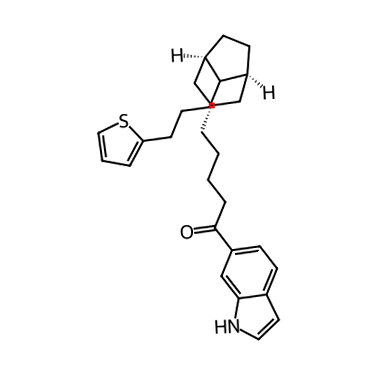 O=C(CCCC[C@@H]1C[C@H]2CC[C@@H](C1)C2CCCc1cccs1)c1ccc2cc[nH]c2c1